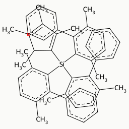 CC1=C(C)C(C)C([Si](c2c(C)ccc(C)c2-c2ccccc2)(c2c(C)ccc(C)c2-c2ccccc2)c2c(C)ccc(C)c2-c2ccccc2)=C1C